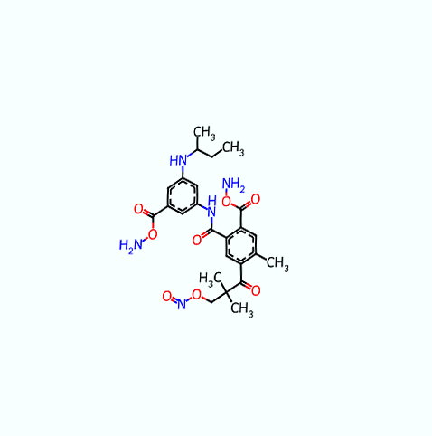 CCC(C)Nc1cc(NC(=O)c2cc(C(=O)C(C)(C)CON=O)c(C)cc2C(=O)ON)cc(C(=O)ON)c1